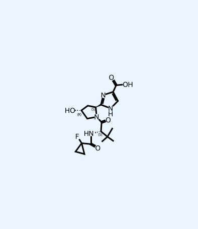 CC(C)(C)[C@H](NC(=O)C1(F)CC1)C(=O)N1C[C@H](O)C[C@H]1c1nc(C(=O)O)c[nH]1